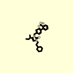 CCC(C)c1cn(CCC2CCCCC2)c(=O)n1Cc1ccc(-c2ccccc2C(=O)O)cc1